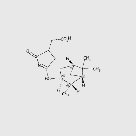 C[C@@H]1[C@@H](NC2=NC(=O)C(CC(=O)O)S2)C[C@H]2C[C@@H]1C2(C)C